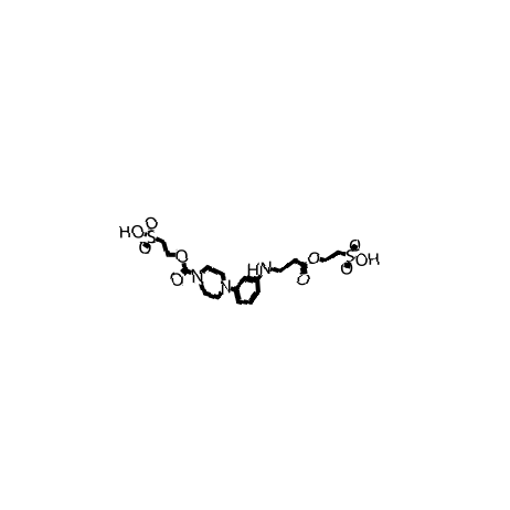 O=C(CCNc1cccc(N2CCN(C(=O)OCCS(=O)(=O)O)CC2)c1)OCCS(=O)(=O)O